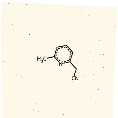 Cc1cccc(CC#N)n1